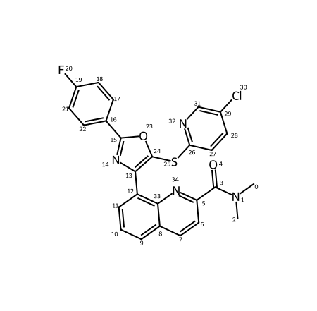 CN(C)C(=O)c1ccc2cccc(-c3nc(-c4ccc(F)cc4)oc3Sc3ccc(Cl)cn3)c2n1